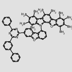 Bc1c(B)c(B)c2c(oc3c2c(B)c(B)c2c4c(B)c(B)c(B)c(B)c4n(-c4cccc5oc6cc(-c7nc(-c8ccccc8)nc(-c8cccc(-c9ccccc9)c8)n7)ccc6c45)c32)c1B